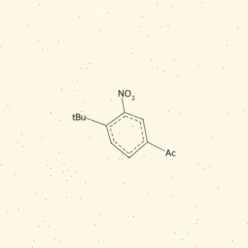 CC(=O)c1ccc(C(C)(C)C)c([N+](=O)[O-])c1